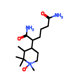 CC1C(C(CCCC(N)=O)C(N)=O)CC[N+](C)([O-])C1(C)C